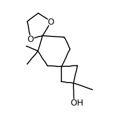 CC1(O)CC2(CCC3(OCCO3)C(C)(C)C2)C1